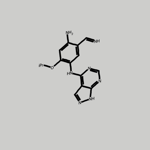 CC(C)Oc1cc(N)c(C=N)cc1Nc1ncnc2[nH]ncc12